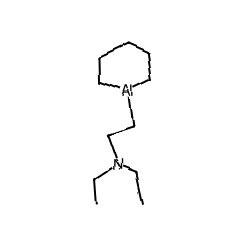 CCN(CC)C[CH2][Al]1[CH2]CCC[CH2]1